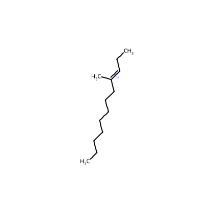 CC/C=C(\C)CCCCCCCC